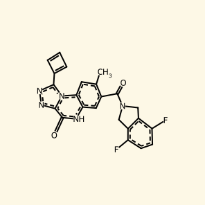 Cc1cc2c(cc1C(=O)N1Cc3c(F)ccc(F)c3C1)[nH]c(=O)c1nnc(C3=CC=C3)n12